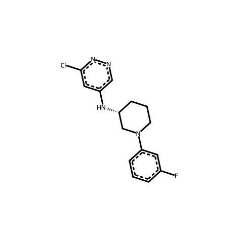 Fc1cccc(N2CCC[C@@H](Nc3cnnc(Cl)c3)C2)c1